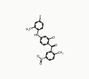 Cc1cc(F)ccc1Nc1ccc(C(=O)c2cc([N+](=O)[O-])ccc2C)c(Cl)c1